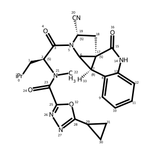 CC(C)C[C@@H](C(=O)N1C2[C@@H]3c4ccccc4NC(=O)[C@]23C[C@H]1C#N)N(C)C(=O)c1nnc(C2CC2)o1